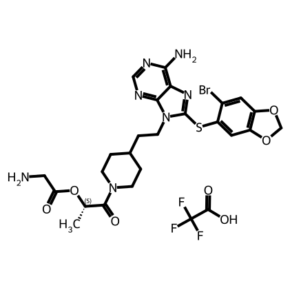 C[C@H](OC(=O)CN)C(=O)N1CCC(CCn2c(Sc3cc4c(cc3Br)OCO4)nc3c(N)ncnc32)CC1.O=C(O)C(F)(F)F